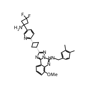 COc1cccc2c1nc(NCc1ccc(C)c(C)c1)n1nc([C@H]3C[C@@H](c4ccc(C5(N)CC(F)(F)C5)cn4)C3)nc21